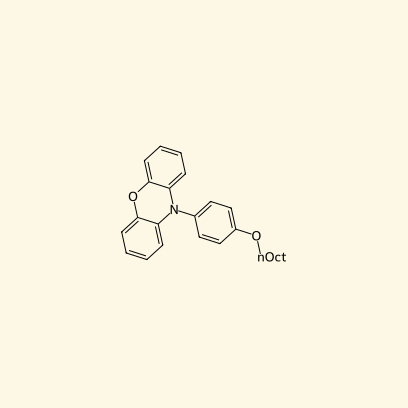 CCCCCCCCOc1ccc(N2c3ccccc3Oc3ccccc32)cc1